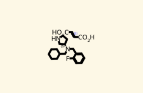 Fc1ccccc1CN(CC1CCCCC1)[C@H]1CCNC1.O=C(O)/C=C/C(=O)O